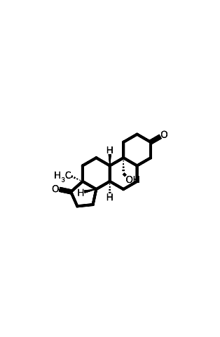 C[C@]12CC[C@H]3[C@@H](CCC4CC(=O)CC[C@@]43CO)[C@@H]1CCC2=O